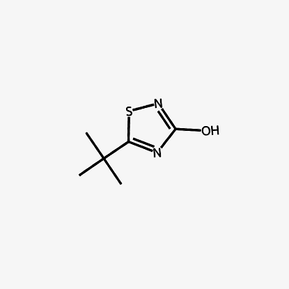 CC(C)(C)c1nc(O)ns1